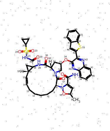 CC1C=C(C(N)=O)N([C@H]2CCCCC/C=C\[C@@H]3C[C@@]3(C(=O)NS(=O)(=O)C3CC3)NC(=O)[C@@H]3C[C@@H](Oc4nc5ccccc5nc4-c4cc5ccccc5s4)CN3C2=O)O1